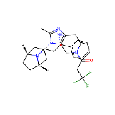 Cc1nc2c(n1[C@H]1C[C@H]3CC[C@@H](C1)N3CC[C@H](N)c1ccccc1)CN(C(=O)CC(F)(F)F)CC2